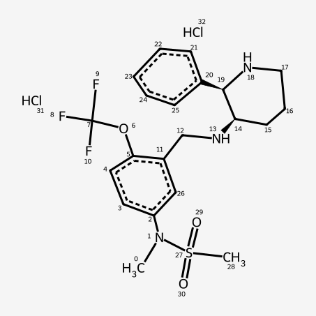 CN(c1ccc(OC(F)(F)F)c(CN[C@@H]2CCCN[C@@H]2c2ccccc2)c1)S(C)(=O)=O.Cl.Cl